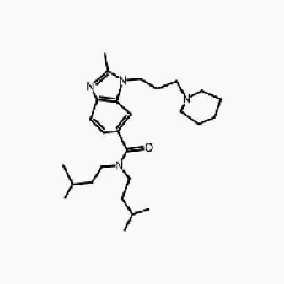 Cc1nc2ccc(C(=O)N(CCC(C)C)CCC(C)C)cc2n1CCCN1CCCCC1